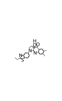 CCc1nc2cc(N3CC[C@@]4(O)C(=O)c5cc(C)c(C)cc5N=C34)ccc2s1